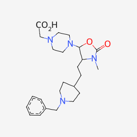 CN1C(=O)OC(N2CCN(CC(=O)O)CC2)C1CCC1CCN(Cc2ccccc2)CC1